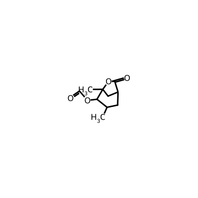 CC1CC2CC(C)(OC2=O)C1OC=O